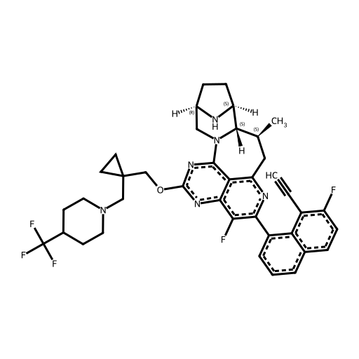 C#Cc1c(F)ccc2cccc(-c3nc4c5c(nc(OCC6(CN7CCC(C(F)(F)F)CC7)CC6)nc5c3F)N3C[C@H]5CC[C@H](N5)[C@@H]3[C@@H](C)C4)c12